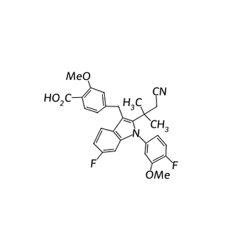 COc1cc(-n2c(C(C)(C)CC#N)c(Cc3ccc(C(=O)O)c(OC)c3)c3ccc(F)cc32)ccc1F